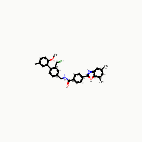 Cc1ccc(OC(C)C)c(-c2ccc(CNC(=O)c3ccc(-c4nc5cc(C#N)cc(C(C)C)c5o4)cc3)cc2CF)c1